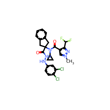 Cn1cc(C(=O)N(C2CC2)C2(C(=O)NNc3ccc(Cl)c(Cl)c3)Cc3ccccc3C2)c(C(F)F)n1